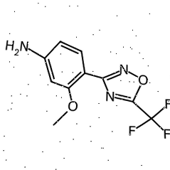 COc1cc(N)ccc1-c1noc(C(F)(F)F)n1